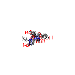 O=C(NCCc1ccccc1)[C@H](Cc1ccc(O)cc1)N1CC2N(C(=O)O)O[C@H](Cc3ccc(O)cc3)C(=O)N2[C@@H](Cc2ccc(O)cc2)C1=O